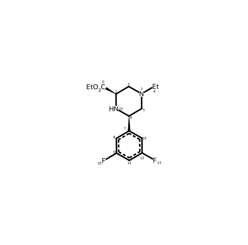 CCOC(=O)[C@H]1CN(CC)C[C@@H](c2cc(F)cc(F)c2)N1